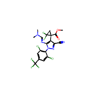 COC(=O)C1(c2c(C#N)nn(-c3c(Cl)cc(C(F)(F)F)cc3Cl)c2/N=C/N(C)C)CC1(F)F